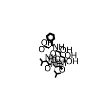 CN[C@H](C(=O)N[C@@H](CC(C)C)C(=O)N[C@@](C)(O)[C@H](O)[C@@H](O)[C@H](O)C(=O)N[C@@H](CC(=O)O)c1ccccc1)C(C)C